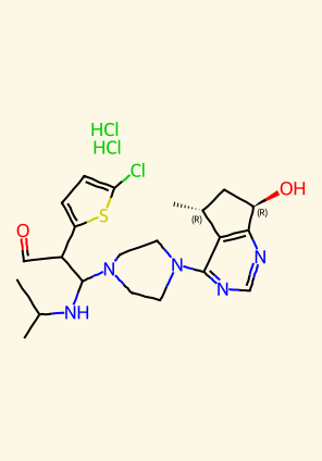 CC(C)NC(C(C=O)c1ccc(Cl)s1)N1CCN(c2ncnc3c2[C@H](C)C[C@H]3O)CC1.Cl.Cl